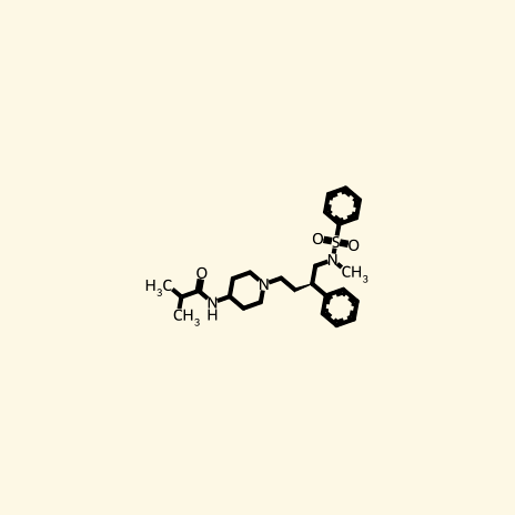 CC(C)C(=O)NC1CCN(CC[C@@H](CN(C)S(=O)(=O)c2ccccc2)c2ccccc2)CC1